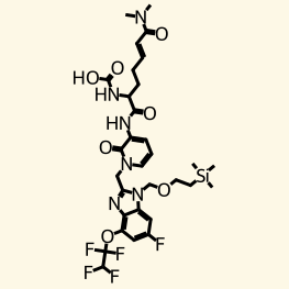 CN(C)C(=O)/C=C/CCC(NC(=O)O)C(=O)Nc1cccn(Cc2nc3c(OC(F)(F)C(F)F)cc(F)cc3n2COCC[Si](C)(C)C)c1=O